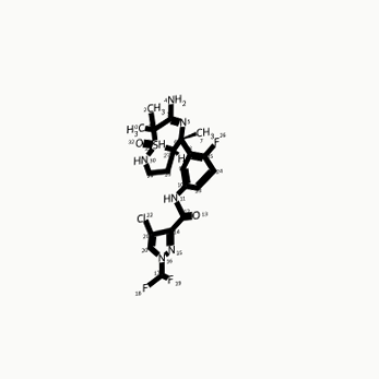 CC1(C)C(N)=N[C@](C)(c2cc(NC(=O)c3nn(C(F)F)cc3Cl)ccc2F)[C@@H]2CCN[SH]21=O